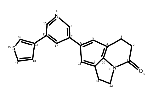 O=C1CCc2cc(-c3cncc(-c4ccsc4)c3)cc3c2N1CC3